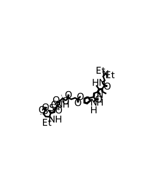 CCN[C@H]1C[C@H](C)S(=O)(=O)c2sc(S(=O)(=O)NC(=O)[C@H](C)OC(=O)CCC(=O)Oc3ccc4c(c3)/C(=C/c3[nH]c(C)c(C(=O)NCCN(CC)CC)c3C)C(=O)N4)cc21